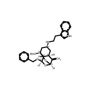 C=C1[C@H]2O[C@@H](OCc3ccccc3)[C@H]3[C@H]1C[C@H](NCCc1c[nH]c4ccccc14)C[C@@]3(OC)O2